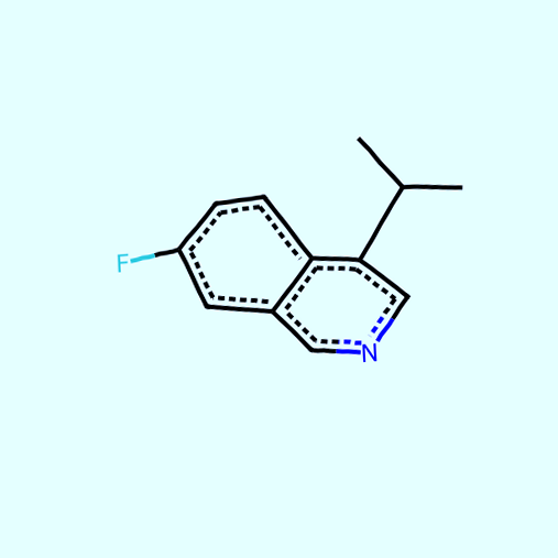 CC(C)c1cncc2cc(F)ccc12